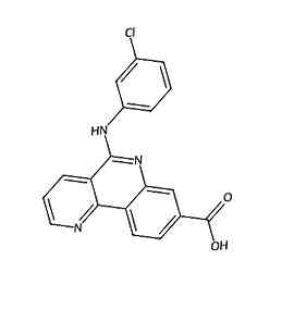 O=C(O)c1ccc2c(c1)nc(Nc1cccc(Cl)c1)c1cccnc12